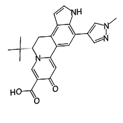 Cn1cc(-c2cc3c(c4cc[nH]c24)C[C@@H](C(C)(C)C)n2cc(C(=O)O)c(=O)cc2-3)cn1